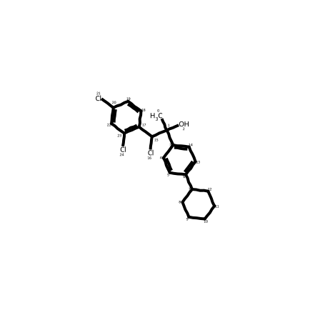 CC(O)(c1ccc(C2CCCCC2)cc1)C(Cl)c1ccc(Cl)cc1Cl